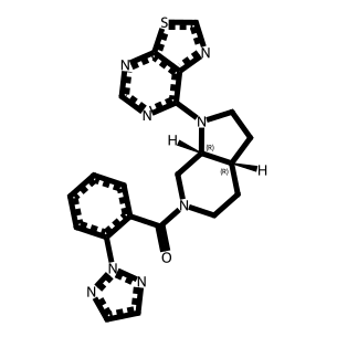 O=C(c1ccccc1-n1nccn1)N1CC[C@H]2CCN(c3ncnc4scnc34)[C@H]2C1